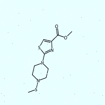 COC(=O)c1csc(N2CCN(SC)CC2)n1